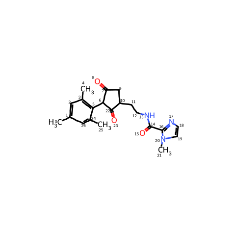 Cc1cc(C)c(C2C(=O)CC(CCNC(=O)c3nccn3C)C2=O)c(C)c1